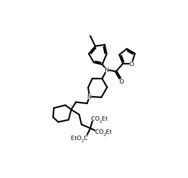 CCOC(=O)C(CCC1(CCN2CCC(N(C(=O)c3ccco3)c3ccc(C)cc3)CC2)CCCCC1)(C(=O)OCC)C(=O)OCC